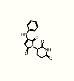 O=C1CCC(N2C(=O)C=C(Nc3c[c]ccc3)C2=O)C(=O)N1